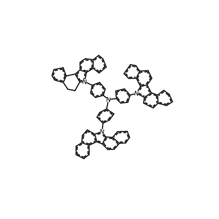 c1ccc2c(c1)CCc1c-2c2ccc3ccccc3c2n1-c1ccc(N(c2ccc(-n3c4ccc5ccccc5c4c4ccc5ccccc5c43)cc2)c2ccc(-n3c4ccc5ccccc5c4c4ccc5ccccc5c43)cc2)cc1